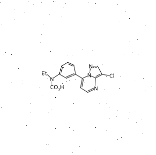 CCN(C(=O)O)c1cccc(-c2ccnc3c(Cl)cnn23)c1